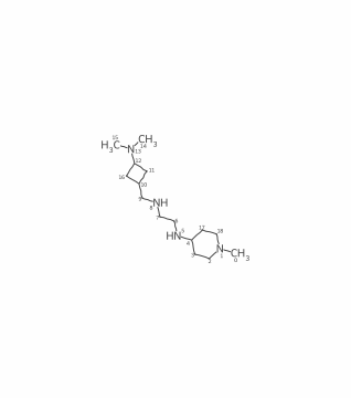 CN1CCC(NCCNCC2CC(N(C)C)C2)CC1